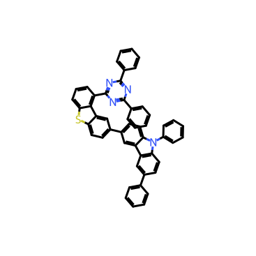 c1ccc(-c2ccc3c(c2)c2cc(-c4ccc5sc6cccc(-c7nc(-c8ccccc8)nc(-c8ccccc8)n7)c6c5c4)ccc2n3-c2ccccc2)cc1